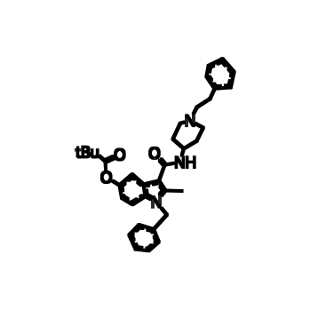 Cc1c(C(=O)NC2CCN(CCc3ccccc3)CC2)c2cc(OC(=O)C(C)(C)C)ccc2n1Cc1ccccc1